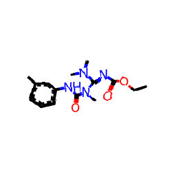 CCOC(=O)/N=C(/N(C)C)N(C)C(=O)Nc1cccc(C)c1